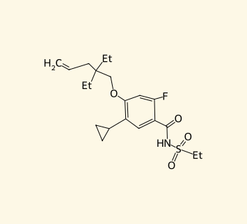 C=CCC(CC)(CC)COc1cc(F)c(C(=O)NS(=O)(=O)CC)cc1C1CC1